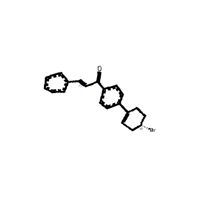 O=C(/C=C/c1ccccc1)c1ccc(C2=CC[C@@H](Br)CC2)cc1